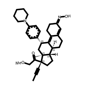 CC#C[C@]1(C(=O)COC)CC[C@H]2[C@@H]3CCC4=CC(=NO)CCC4=C3[C@@H](c3ccc(N4CCCCC4)cc3)C[C@@]21C